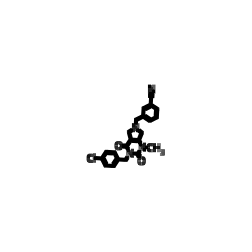 Cn1c2c(c(=O)n(Cc3ccc(Cl)cc3)c1=O)CN(Cc1cccc(C#N)c1)C2